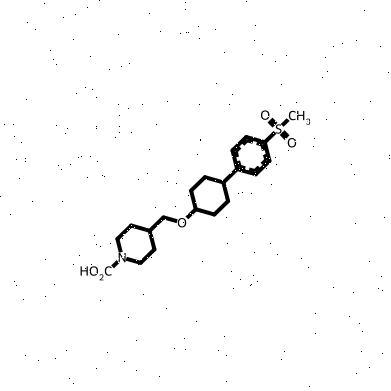 CS(=O)(=O)c1ccc(C2CCC(OCC3CCN(C(=O)O)CC3)CC2)cc1